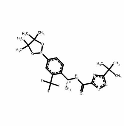 C[C@@H](NC(=O)c1nc(C(C)(C)C)no1)c1ccc(B2OC(C)(C)C(C)(C)O2)cc1C(F)(F)F